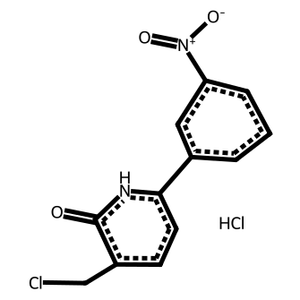 Cl.O=c1[nH]c(-c2cccc([N+](=O)[O-])c2)ccc1CCl